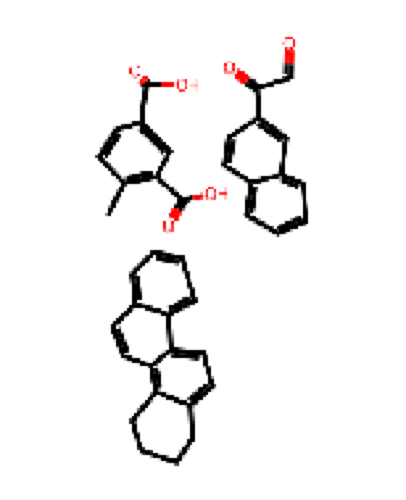 Cc1ccc(C(=O)O)cc1C(=O)O.O=CC(=O)c1ccc2ccccc2c1.c1ccc2c(c1)ccc1c3c(ccc12)CCCC3